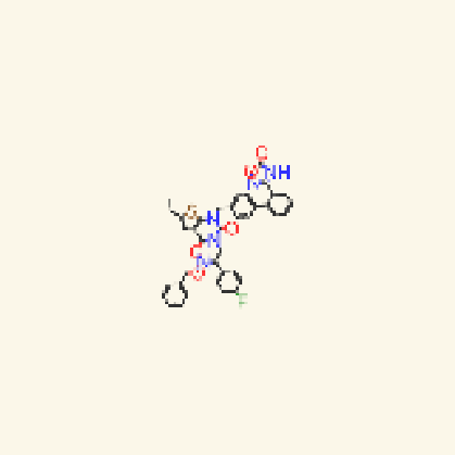 CCc1cc2c(=O)n(C/C(=N/OCc3ccccc3)c3ccc(F)cc3)c(=O)n(Cc3ccc(-c4ccccc4-c4noc(=O)[nH]4)cc3)c2s1